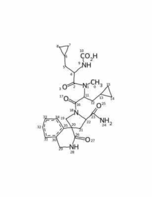 CN(C(=O)C(CC1CC1)NC(=O)O)C(CC1CC1)C(=O)N1CC2(CC1C(N)=O)C(=O)NCc1ccccc12